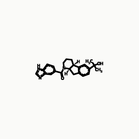 CC(C)(O)c1ccc2c(c1)[C@@H]1CCCN(C(=O)c3ccc4[nH]cnc4c3)[C@@H]1C2